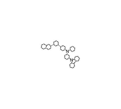 c1ccc(N(c2ccc(-c3cccc(-c4ccc5ccccc5c4)c3)cc2)c2cccc(-n3c4ccccc4c4ccccc43)c2)cc1